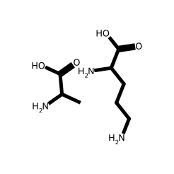 CC(N)C(=O)O.NCCCC(N)C(=O)O